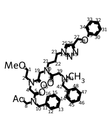 COCCN(CC(=O)N(CC(C)=O)Cc1ccccc1)C(=O)CN(CCCn1cc(COc2ccccc2)nn1)C(=O)CN(C)Cc1ccccc1